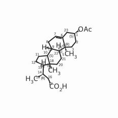 CC(=O)O[C@H]1CC[C@@]2(C)C(=CC[C@H]3[C@@H]4CC[C@H]([C@H](C)CC(=O)O)[C@@]4(C)CC[C@@H]32)C1